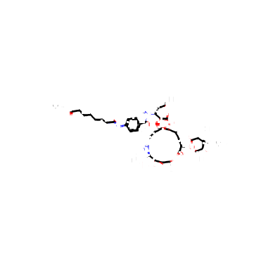 CC[C@H]1OC(=O)[C@H](C)[C@@H](O[C@H]2C[C@@](C)(OC)[C@@H](O)[C@H](C)O2)[C@H](C)[C@@H](O[C@@H]2O[C@H](C)C[C@H](N(C)Cc3ccc(NC(=O)CCCCCCC(=O)OC)cc3)[C@@H]2O)[C@](C)(O)C[C@@H](C)CN(C)[C@H](C)[C@@H](O)[C@]1(C)O